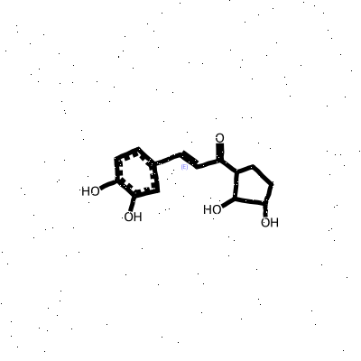 O=C(/C=C/c1ccc(O)c(O)c1)C1CCC(O)C1O